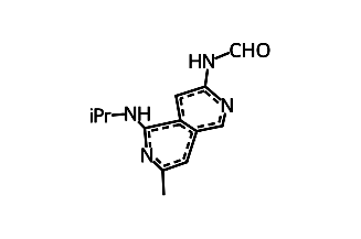 Cc1cc2cnc(NC=O)cc2c(NC(C)C)n1